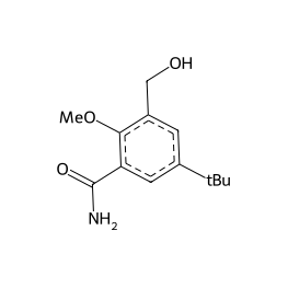 COc1c(CO)cc(C(C)(C)C)cc1C(N)=O